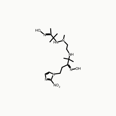 CC(=NO)C(C)(C)NN(C)CCNC(C)(C)C(CCn1ccnc1[N+](=O)[O-])=NO